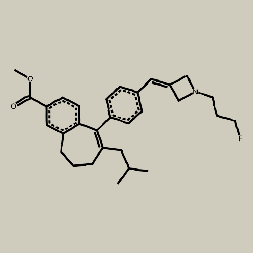 COC(=O)c1ccc2c(c1)CCCC(CC(C)C)=C2c1ccc(C=C2CN(CCCF)C2)cc1